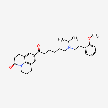 COc1ccccc1CCN(CCCCCC(=O)c1cc2c3c(c1)CCC(=O)N3CCC2)C(C)C